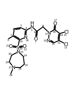 Cc1ccc(NC(=O)Cn2ncc(Cl)c(Cl)c2=O)nc1S(=O)(=O)N1CCCN(C)CC1